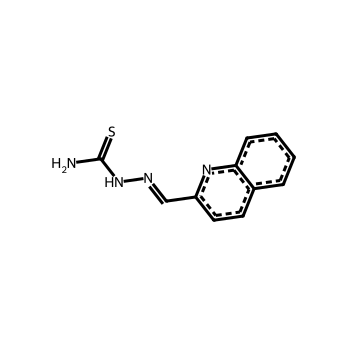 NC(=S)NN=Cc1ccc2ccccc2n1